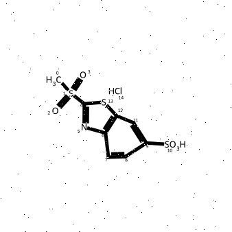 CS(=O)(=O)c1nc2ccc(S(=O)(=O)O)cc2s1.Cl